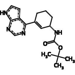 CC(C)(C)OC(=O)NC1C=C(c2ncnc3[nH]ccc23)CCC1